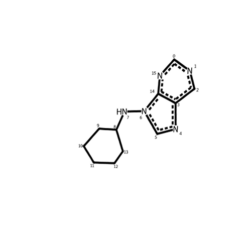 c1ncc2ncn(NC3CCCCC3)c2n1